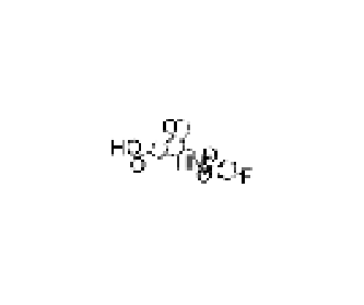 O=C(O)C1C=C2CC(CNS(=O)(=O)c3ccc(F)cc3)=C3CCCOC3=C2C1